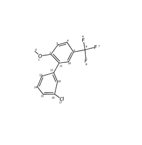 COc1ccc(C(F)(F)F)cc1-c1[c]ccc(Cl)c1